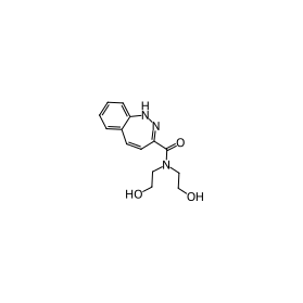 O=C(C1=NNc2ccccc2C=C1)N(CCO)CCO